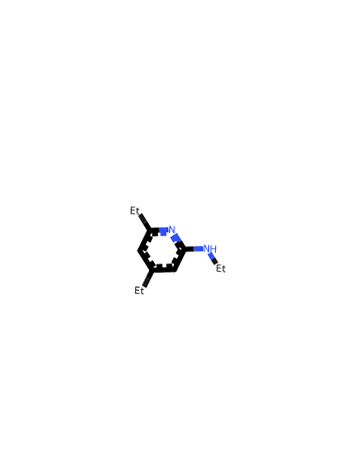 CCNc1cc(CC)cc(CC)n1